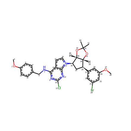 COc1ccc(CNc2nc(Cl)nc3c2ccn3[C@@H]2C[C@H](c3cc(Br)cc(OC)c3)[C@H]3OC(C)(C)O[C@H]32)cc1